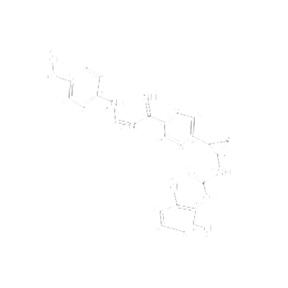 N=C(/N=C\Nc1ccc(OC(F)(F)F)cc1)c1ccc(C2CC2NC(=O)Oc2c(Cl)cccc2Cl)cc1